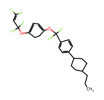 CCCC1CCC(c2ccc(C(F)(F)OC3=CC=C(OC(F)(F)C=C(F)F)CC3)cc2)CC1